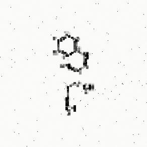 C#CC[C](O)c1cnc2ccccc2n1